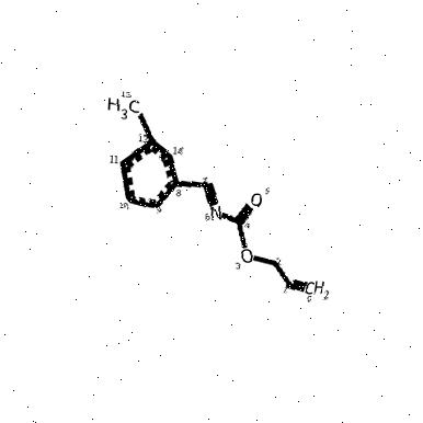 C=CCOC(=O)N=Cc1cccc(C)c1